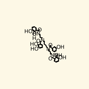 O=C(NCCCN(CCCCN(CCCNC(=O)c1cccc(O)c1O)C(=O)c1cccc(O)c1O)C(=O)c1cccc(O)c1)c1cccc(O)c1O